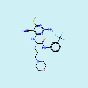 CSc1nc(N)nc(N[C@@H](CCCN2CCOCC2)C(=O)Nc2cccc(C(F)(F)F)c2)c1C#N